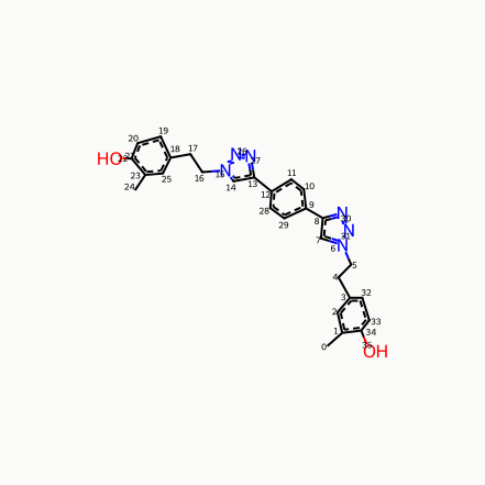 Cc1cc(CCn2cc(-c3ccc(-c4cn(CCc5ccc(O)c(C)c5)nn4)cc3)nn2)ccc1O